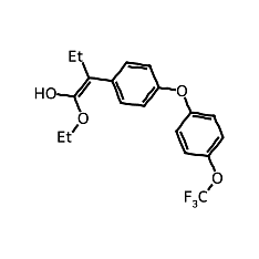 CCOC(O)=C(CC)c1ccc(Oc2ccc(OC(F)(F)F)cc2)cc1